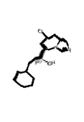 O[C@H](CC1CCCCC1)c1cc(Cl)cc2cncn12